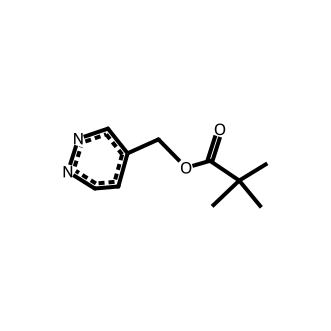 CC(C)(C)C(=O)OCc1ccnnc1